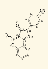 Cc1oc2ccccc2c2nn(-c3ccc(C#N)cc3)c(=O)c1-2